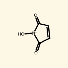 O=C1C=CC(=O)[N+]1O